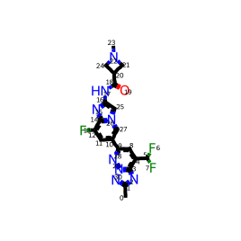 Cc1nc2c(C(F)F)cc(-c3cc(F)c4nc(NC(=O)C5CN(C)C5)cn4c3)nn2n1